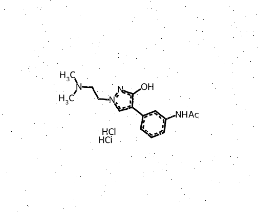 CC(=O)Nc1cccc(-c2cn(CCN(C)C)nc2O)c1.Cl.Cl